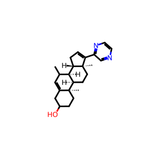 CC1C=C2CC(O)CC[C@]2(C)[C@@H]2CC[C@]3(C)C(c4cnccn4)=CC[C@H]3[C@H]12